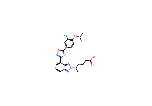 CC(C)Oc1ccc(-c2nc(-c3cccc4nn(C(C)CCCC(=O)O)cc34)no2)cc1Cl